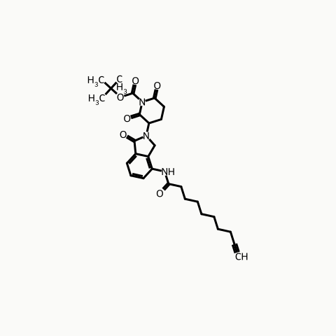 C#CCCCCCCCC(=O)Nc1cccc2c1CN(C1CCC(=O)N(C(=O)OC(C)(C)C)C1=O)C2=O